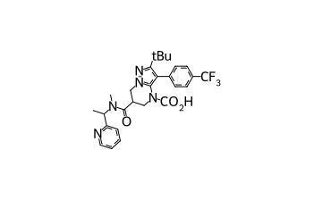 CC(c1ccccn1)N(C)C(=O)C1CN(C(=O)O)c2c(-c3ccc(C(F)(F)F)cc3)c(C(C)(C)C)nn2C1